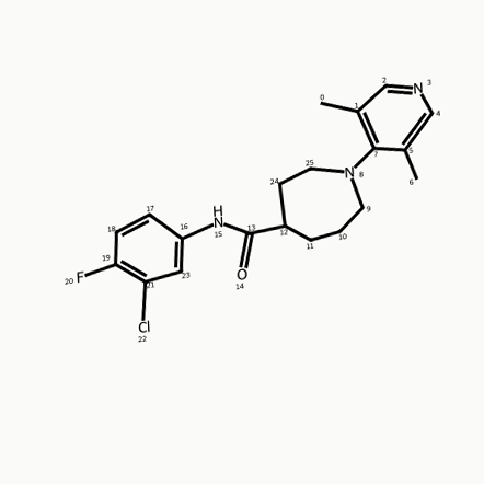 Cc1cncc(C)c1N1CCCC(C(=O)Nc2ccc(F)c(Cl)c2)CC1